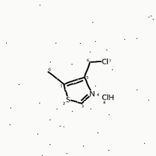 Cc1scnc1CCl.Cl